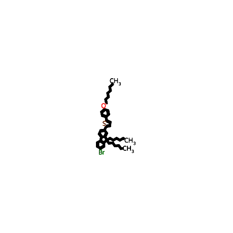 CCCCCCCCOc1ccc(-c2ccc(-c3ccc4c(c3)C(CCCCCC)(CCCCCC)c3cc(Br)ccc3-4)s2)cc1